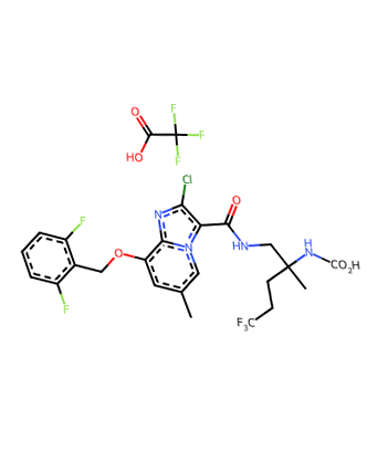 Cc1cc(OCc2c(F)cccc2F)c2nc(Cl)c(C(=O)NCC(C)(CCC(F)(F)F)NC(=O)O)n2c1.O=C(O)C(F)(F)F